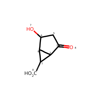 O=C(O)C1C2C(=O)CC(O)C12